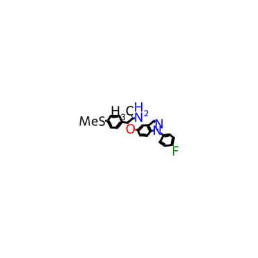 CSc1ccc([C@H](Oc2ccc3c(cnn3-c3ccc(F)cc3)c2)[C@H](C)N)cc1